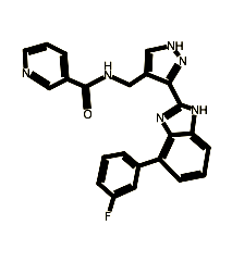 O=C(NCc1c[nH]nc1-c1nc2c(-c3cccc(F)c3)cccc2[nH]1)c1cccnc1